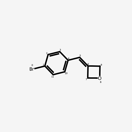 Brc1ccc(C=C2COC2)cc1